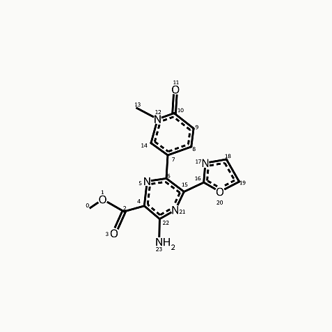 COC(=O)c1nc(-c2ccc(=O)n(C)c2)c(-c2ncco2)nc1N